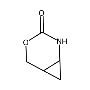 O=C1NC2CC2CO1